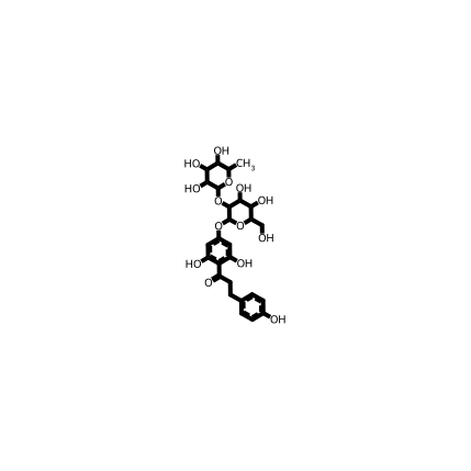 CC1OC(OC2C(Oc3cc(O)c(C(=O)CCc4ccc(O)cc4)c(O)c3)OC(CO)C(O)C2O)C(O)C(O)C1O